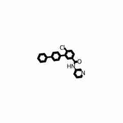 O=C(Nc1cccnc1)c1ccc(Cl)c(-c2ccc(-c3ccccc3)cc2)c1